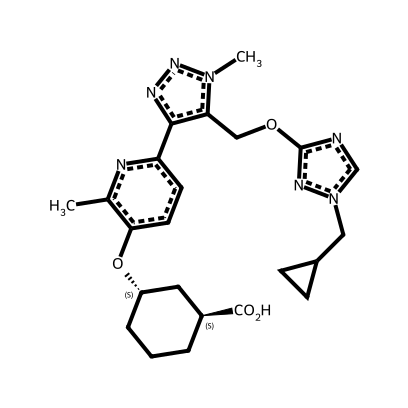 Cc1nc(-c2nnn(C)c2COc2ncn(CC3CC3)n2)ccc1O[C@H]1CCC[C@H](C(=O)O)C1